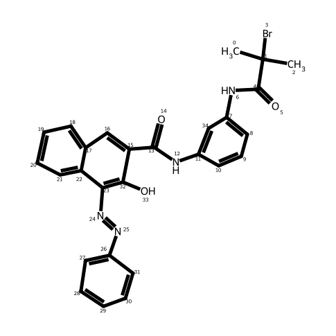 CC(C)(Br)C(=O)Nc1cccc(NC(=O)c2cc3ccccc3c(N=Nc3ccccc3)c2O)c1